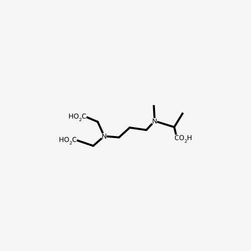 CC(C(=O)O)N(C)CCCN(CC(=O)O)CC(=O)O